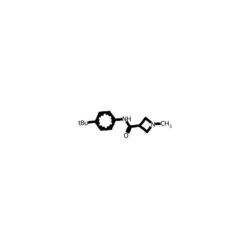 CN1CC(C(=O)Nc2ccc(C(C)(C)C)cc2)C1